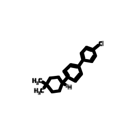 [2H]C1(c2ccc(-c3ccc(Cl)cc3)cc2)CCC(C)(C)CC1